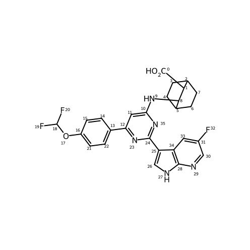 O=C(O)C1C2CCC(CC2)C1Nc1cc(-c2ccc(OC(F)F)cc2)nc(-c2c[nH]c3ncc(F)cc23)n1